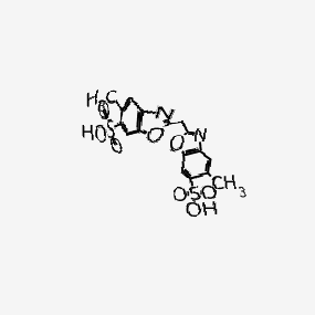 Cc1cc2nc(Cc3nc4cc(C)c(S(=O)(=O)O)cc4o3)oc2cc1S(=O)(=O)O